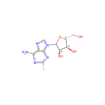 Nc1nc(F)nc2c1ncn2C1O[C@H](CO)[C@@H](O)[C@H]1O